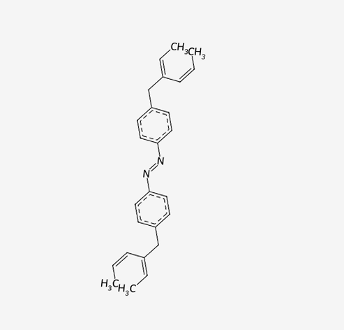 C/C=C\C(=C/C)Cc1ccc(N=Nc2ccc(CC(/C=C\C)=C/C)cc2)cc1